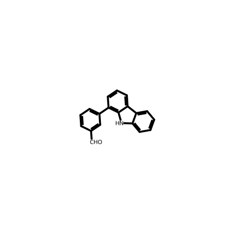 O=Cc1cccc(-c2cccc3c2[nH]c2ccccc23)c1